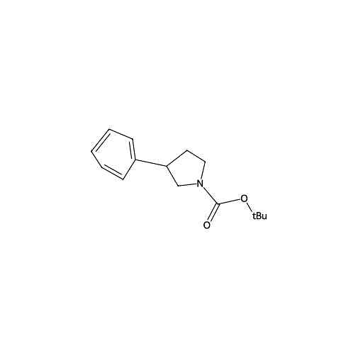 CC(C)(C)OC(=O)N1CCC(c2ccccc2)C1